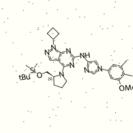 COc1cc(-n2cnc(Nc3nc(N4CCC[C@H]4CO[Si](C)(C)C(C)(C)C)c4cnn(C5CCC5)c4n3)c2)cc(C)c1C